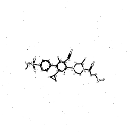 CNS(=O)(=O)c1ccc(-c2c(C3CC3)nc(N3CCN(C(=O)CCOC)C(C)C3)c(C#N)c2C)cc1